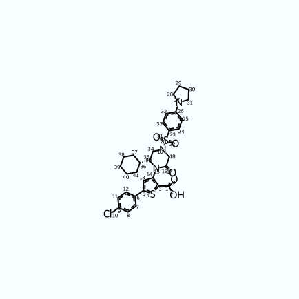 O=C(O)c1sc(-c2ccc(Cl)cc2)cc1N1C(=O)CN(S(=O)(=O)c2ccc(N3CCCC3)cc2)C[C@H]1C1CCCCC1